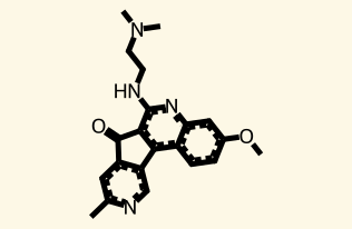 COc1ccc2c3c(c(NCCN(C)C)nc2c1)C(=O)c1cc(C)ncc1-3